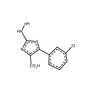 CCCNc1nc(C(=O)O)c(-c2cccc(Cl)c2)s1